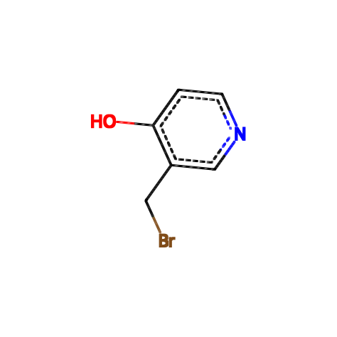 Oc1ccncc1CBr